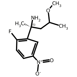 COC(C)C[C@](C)(N)c1cc([N+](=O)[O-])ccc1F